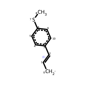 [CH2]/C=C/c1ccc(SC)cc1